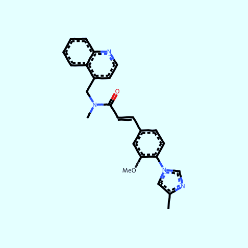 COc1cc(C=CC(=O)N(C)Cc2ccnc3ccccc23)ccc1-n1cnc(C)c1